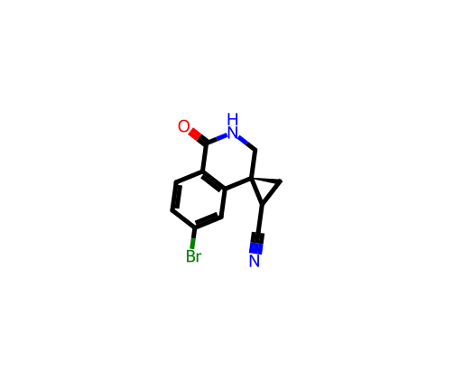 N#CC1C[C@@]12CNC(=O)c1ccc(Br)cc12